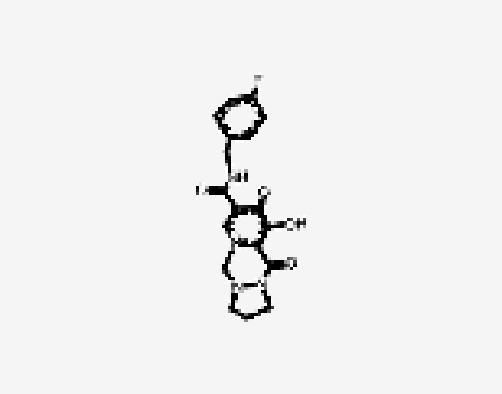 O=C(NCc1ccc(F)cc1)c1cn2c(c(O)c1=O)C(=O)N1CCCN1C2